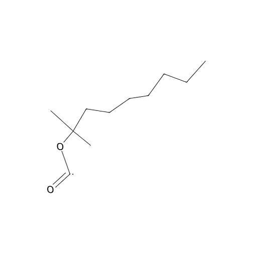 CCCCCCCC(C)(C)O[C]=O